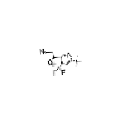 CC(C)(C)c1cc(C(F)(F)F)c(C(=O)CC#N)cn1